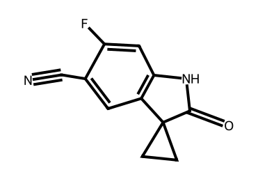 N#Cc1cc2c(cc1F)NC(=O)C21CC1